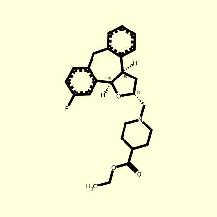 CCOC(=O)C1CCN(C[C@H]2C[C@@H]3c4ccccc4Cc4ccc(F)cc4[C@@H]3O2)CC1